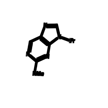 CNc1ncc2ncn(C(C)C)c2n1